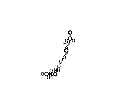 O=C1CCC(N2C(=O)c3cccc(NCCOCCOCCOCCN4CCN(CCNC=C5C(=O)CC(c6ccccc6)CC5=O)CC4)c3C2=O)C(=O)C1